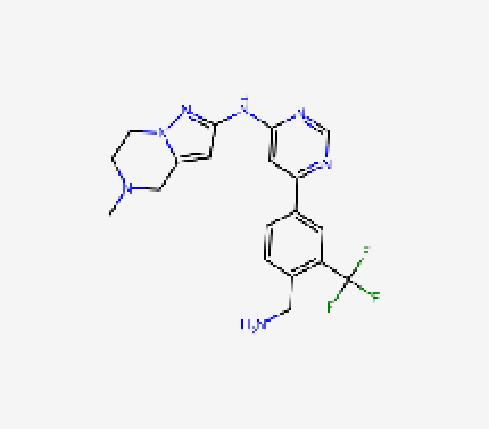 CN1CCn2nc(Nc3cc(-c4ccc(CN)c(C(F)(F)F)c4)ncn3)cc2C1